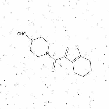 O=CN1CCN(C(=O)c2[c]sc3c2CCCC3)CC1